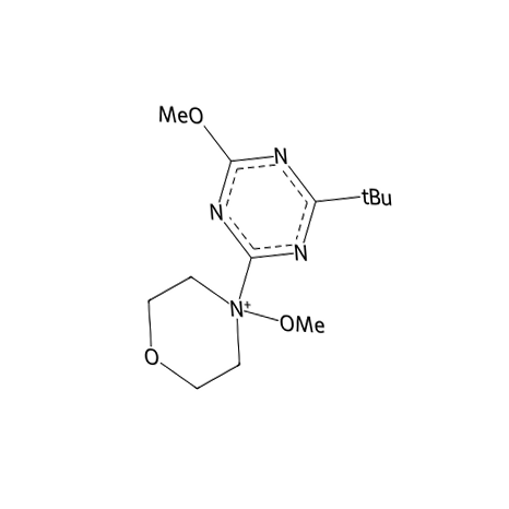 COc1nc(C(C)(C)C)nc([N+]2(OC)CCOCC2)n1